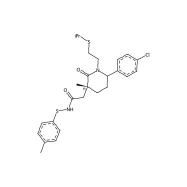 Cc1ccc(SNC(=O)C[C@@]2(C)CCC(c3ccc(Cl)cc3)N(CCSC(C)C)C2=O)cc1